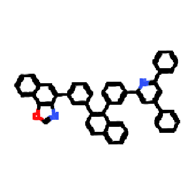 c1ccc(-c2cc(-c3ccccc3)nc(-c3cccc(-c4c(-c5cccc(-c6cc7ccccc7c7ocnc67)c5)ccc5ccccc45)c3)c2)cc1